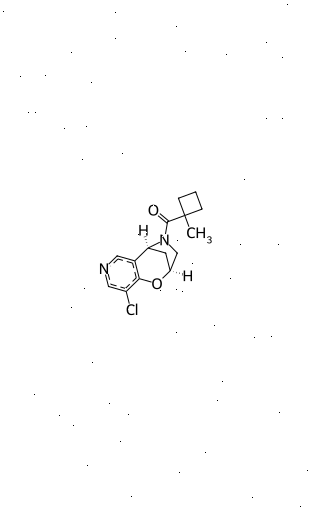 CC1(C(=O)N2C[C@@H]3C[C@H]2c2cncc(Cl)c2O3)CCC1